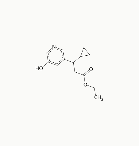 CCOC(=O)CC(c1cncc(O)c1)C1CC1